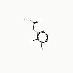 NC(=O)Cc1cccc(Cl)c1F